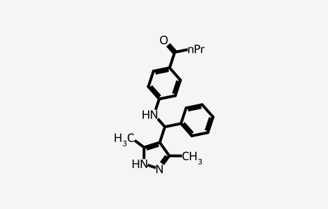 CCCC(=O)c1ccc(NC(c2ccccc2)c2c(C)n[nH]c2C)cc1